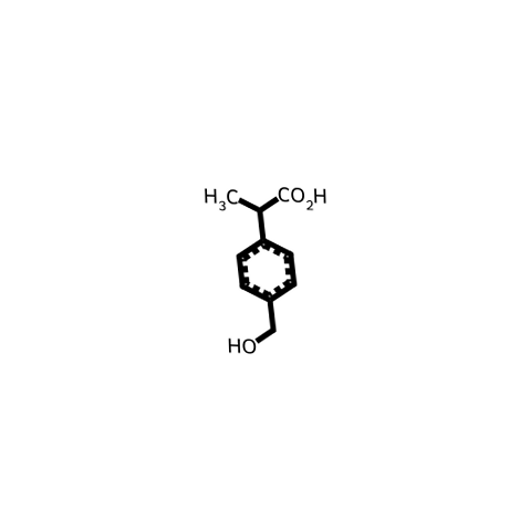 CC(C(=O)O)c1ccc(CO)cc1